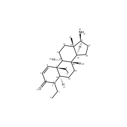 CCN1C(=O)C=C[C@]2(CC)[C@H]3CC[C@]4(C)[C@@H](N)CC[C@H]4[C@@H]3CC[C@@H]12